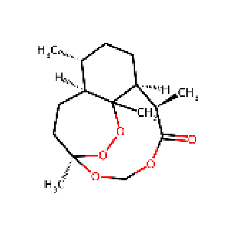 C[C@@H]1CC[C@H]2[C@@H](C)C(=O)OCO[C@@]3(C)CC[C@@H]1C2(C)OO3